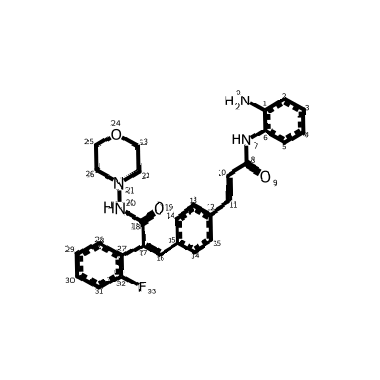 Nc1ccccc1NC(=O)C=Cc1ccc(C=C(C(=O)NN2CCOCC2)c2ccccc2F)cc1